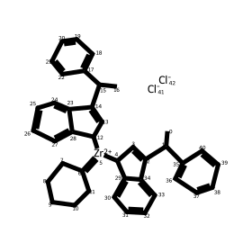 CC(C1=C[CH]([Zr+2](=[C]2CCCCC2)[CH]2C=C(C(C)c3ccccc3)c3ccccc32)c2ccccc21)c1ccccc1.[Cl-].[Cl-]